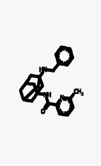 Cc1cccc(C(=O)NC23CC4CC(CC(NCc5ccccc5)(C4)C2)C3)n1